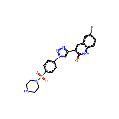 O=c1[nH]c2ccc(F)cc2cc1-c1cn(-c2ccc(S(=O)(=O)N3CCNCC3)cc2)nn1